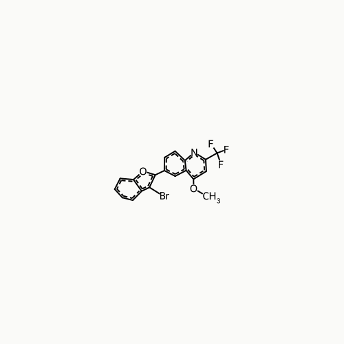 COc1cc(C(F)(F)F)nc2ccc(-c3oc4ccccc4c3Br)cc12